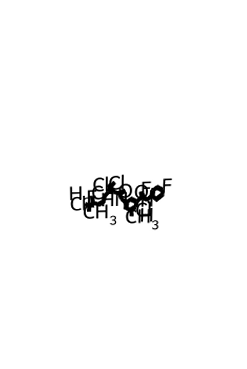 C=C(/C=C\C(F)=C(/C)Cl)C1C(C(=O)Nc2cc(C)c(Cl)c(C(=O)Nc3ccc(F)cc3F)c2)C1(Cl)Cl